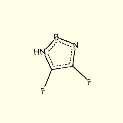 Fc1nb[nH]c1F